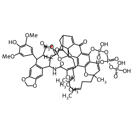 COc1cc(C2c3cc4c(cc3C(NC(=O)/C(C)=C\CC35OC(C)(C)C6CC(C=C7C(=O)c8c(OP(=O)(O)OP(=O)(O)OP(=O)(O)O)c9c(c(CC=C(C)C)c8OC763)OC(C)(CCC=C(C)C)C=C9)C5=O)C3COC(=O)C23)OCO4)cc(OC)c1O